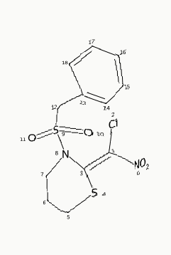 O=[N+]([O-])C(Cl)=C1SCCCN1S(=O)(=O)Cc1ccccc1